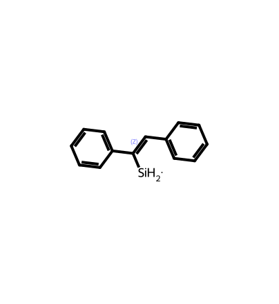 [SiH2]/C(=C\c1ccccc1)c1ccccc1